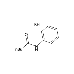 CCCCC(=O)Nc1ccccc1.[KH]